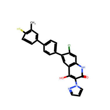 Cc1cc(-c2ccc(-c3cc4c(O)c(-n5cccn5)c(=O)[nH]c4cc3Cl)cc2)ccc1S